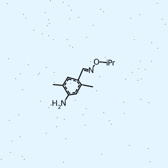 Cc1cc(C=NOC(C)C)c(C)cc1N